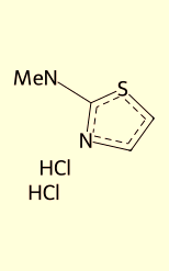 CNc1nccs1.Cl.Cl